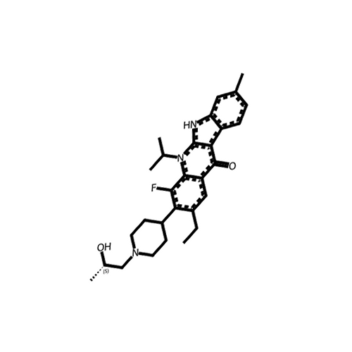 CCc1cc2c(=O)c3c4ccc(C)cc4[nH]c3n(C(C)C)c2c(F)c1C1CCN(C[C@H](C)O)CC1